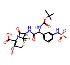 COC1=C(C(=O)O)N2C(=O)[C@@H](NC(=O)C(NC(=O)OC(C)(C)C)c3cccc(NS(C)(=O)=O)c3)[C@@H]2SC1